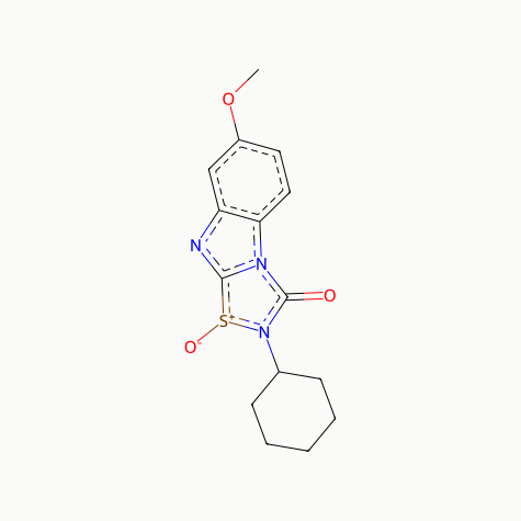 COc1ccc2c(c1)nc1n2c(=O)n(C2CCCCC2)[s+]1[O-]